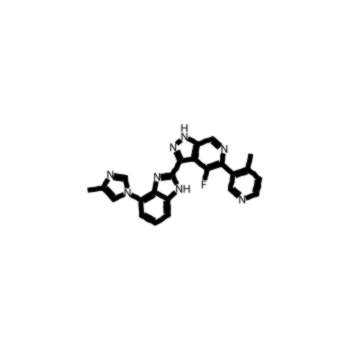 Cc1cn(-c2cccc3[nH]c(-c4n[nH]c5cnc(-c6cnccc6C)c(F)c45)nc23)cn1